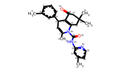 CC1=[C]C(c2cccc(C)c2)C2=C(CC(C)(C)CC2=O)N1C(=O)Nc1cc(C)ccn1